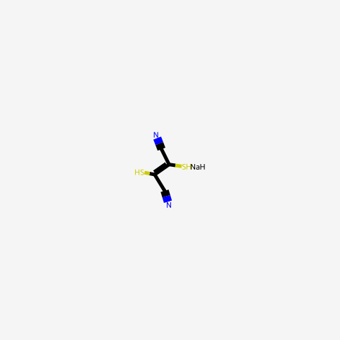 N#CC(S)=C(S)C#N.[NaH]